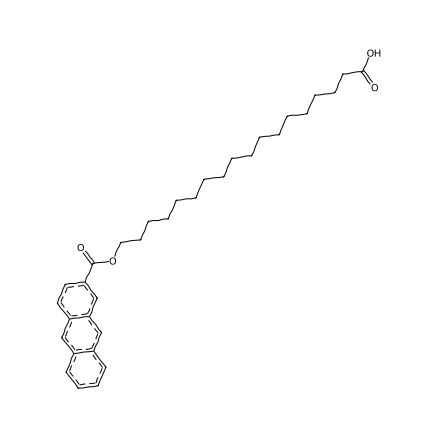 O=C(O)CCCCCCCCCCCCCCCCCOC(=O)c1ccc2cc3ccccc3cc2c1